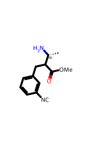 [C-]#[N+]c1cccc(CC(C(=O)OC)[C@@H](C)N)c1